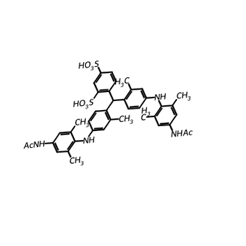 CC(=O)Nc1cc(C)c(Nc2ccc(C(c3ccc(Nc4c(C)cc(NC(C)=O)cc4C)cc3C)c3ccc(S(=O)(=O)O)cc3S(=O)(=O)O)c(C)c2)c(C)c1